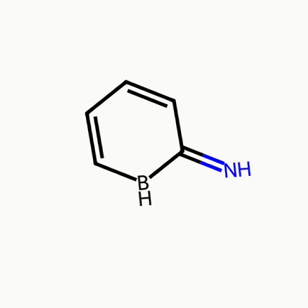 N=C1BC=CC=C1